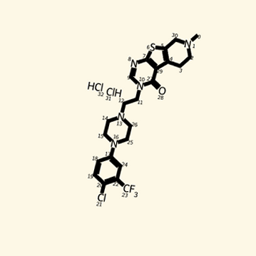 CN1CCc2c(sc3ncn(CCN4CCN(c5ccc(Cl)c(C(F)(F)F)c5)CC4)c(=O)c23)C1.Cl.Cl